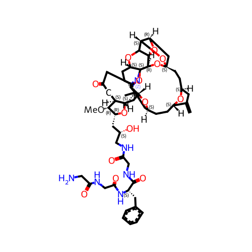 C=C1C[C@@H]2CC[C@@]34C[C@H]5OC6C(O[C@H]7CC[C@@H]8CC(=O)C[C@@H]9[C@@H](OC)[C@@H](C[C@H](O)CNC(=O)CNC(=O)[C@H](Cc%10ccccc%10)NC(=O)CNC(=O)CN)O[C@H]9C[C@H]9O[C@@H](CC[C@@H]1O2)C[C@@H](C)/C9=N/[C@@]7(O8)[C@@H]6O3)[C@H]5O4